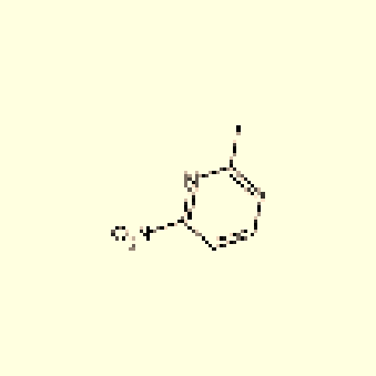 Cc1cccc([N+](=O)[O-])n1